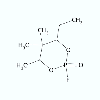 CCC1OP(=O)(F)OC(C)C1(C)C